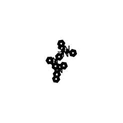 c1ccc(-c2nc(-c3ccc(-n4c5ccccc5c5cc6c7cc8ccccc8cc7n7c8ccccc8c(c54)c67)cc3)c3sc4ccccc4c3n2)cc1